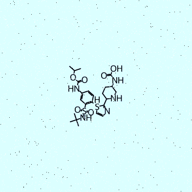 CC(C)OC(=O)Nc1ccc([SH]2C=CN=C2C2CCC(NC(=O)O)CN2)c(S(=O)(=O)NC(C)(C)C)c1